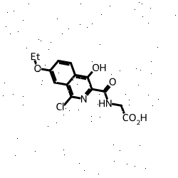 CCOc1ccc2c(O)c(C(=O)NCC(=O)O)nc(Cl)c2c1